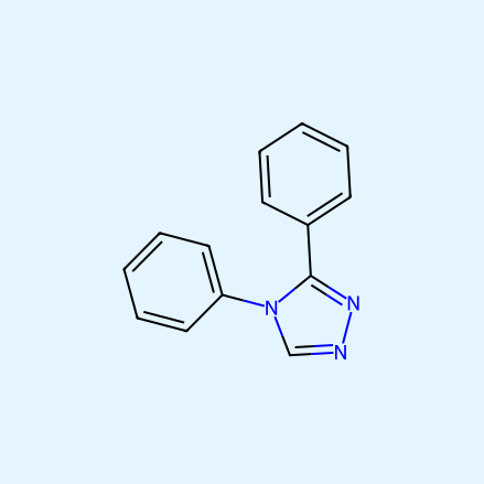 c1ccc(-c2nncn2-c2ccccc2)cc1